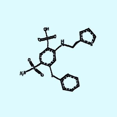 NS(=O)(=O)c1cc(S(=O)(=O)O)c(NCc2cccs2)cc1Sc1ccccc1